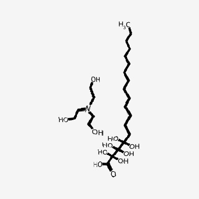 CCCCCCCCCCCCCCC(O)(O)C(O)(O)C(O)(O)C(=O)O.OCCN(CCO)CCO